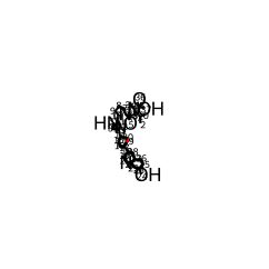 CC(C)[C@@H](C(=O)N1CCC[C@H]1c1nc(-c2ccc(-c3cnc4cc(O)ccc4c3)cc2)c[nH]1)N(C)C(=O)O